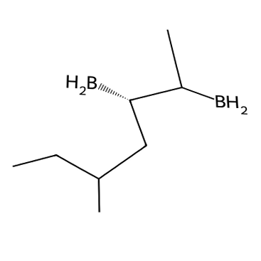 BC(C)[C@@H](B)CC(C)CC